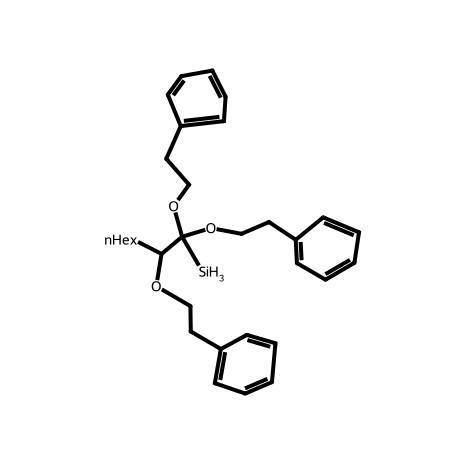 CCCCCCC(OCCc1ccccc1)C([SiH3])(OCCc1ccccc1)OCCc1ccccc1